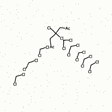 CC(=O)CC(Cl)(Cl)CC(C)=O.ClCCl.ClCCl.ClCCl.ClCCl.ClCCl.ClCCl.ClCCl.ClCCl